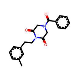 Cc1cccc(CCN2C(=O)CN(C(=O)c3ccccc3)CC2=O)c1